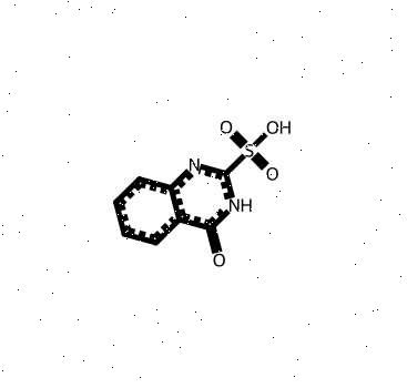 O=c1[nH]c(S(=O)(=O)O)nc2ccccc12